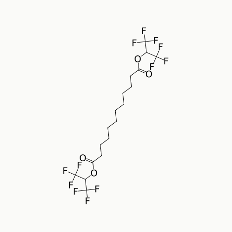 O=C(CCCCCCCCCCC(=O)OC(C(F)(F)F)C(F)(F)F)OC(C(F)(F)F)C(F)(F)F